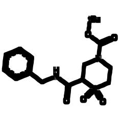 CC(C)(C)OC(=O)N1CCS(=O)(=O)C(C(=O)NCc2ccccc2)C1